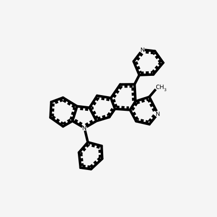 Cc1nccc2c1c(-c1cccnc1)cc1cc3c4ccccc4n(-c4ccccc4)c3cc12